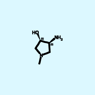 CN1C[C@H](N)[C@@H](O)C1